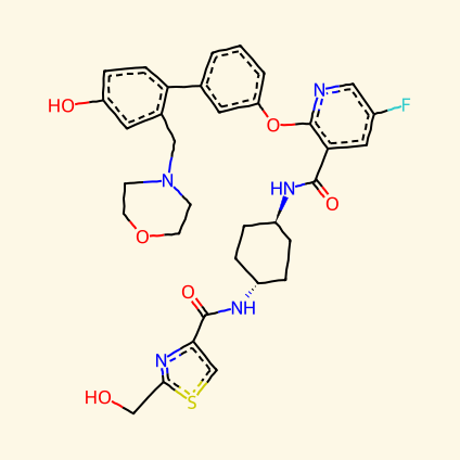 O=C(N[C@H]1CC[C@H](NC(=O)c2cc(F)cnc2Oc2cccc(-c3ccc(O)cc3CN3CCOCC3)c2)CC1)c1csc(CO)n1